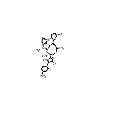 C=C1/C=C(c2cc(Cl)ccc2-n2cnnn2)\C=[N+](\OC)C[C@](O)(c2nc(Cl)c(-c3ccc(N)cc3)[nH]2)CC1